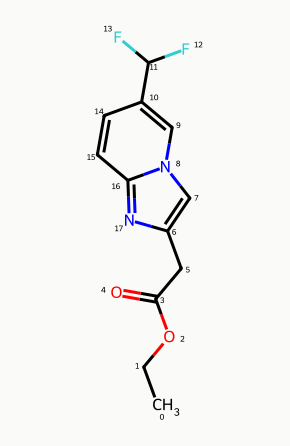 CCOC(=O)Cc1cn2cc(C(F)F)ccc2n1